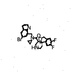 O=C(C1CNCC[C@@]12OCc1cc(F)c(F)cc12)N(Cc1cc(Br)cc2cccnc12)C1CC1